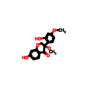 COc1ccc(C2(OC)COc3cc(O)ccc3C2=O)c(O)c1